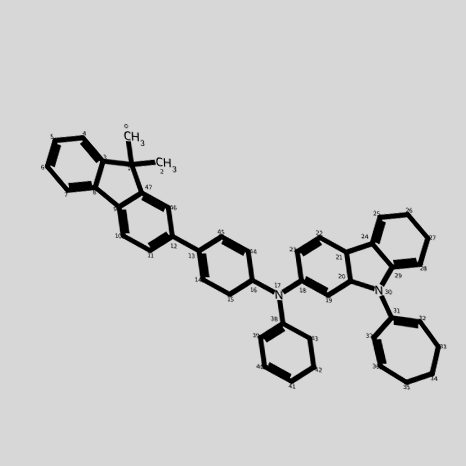 CC1(C)c2ccccc2-c2ccc(C3=CCC(N(C4=CC5C(C=C4)C4=CCCC=C4N5C4=CCCCC=C4)C4=CC=CCC4)C=C3)cc21